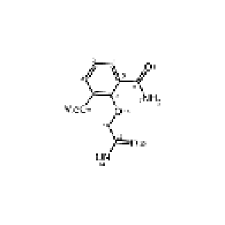 COc1cccc(C(N)=O)c1OCC(=O)N=O